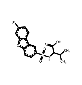 CC(C)C(NS(=O)(=O)c1ccc2oc3cc(Br)ccc3c2c1)C(=O)O